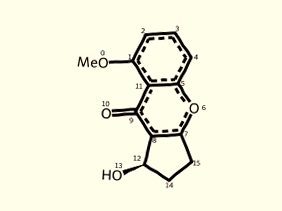 COc1cccc2oc3c(c(=O)c12)[C@H](O)CC3